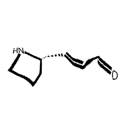 O=CC=C[C@@H]1CCN1